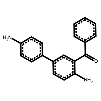 Nc1ccc(-c2ccc(N)c(C(=O)c3ccccc3)c2)cc1